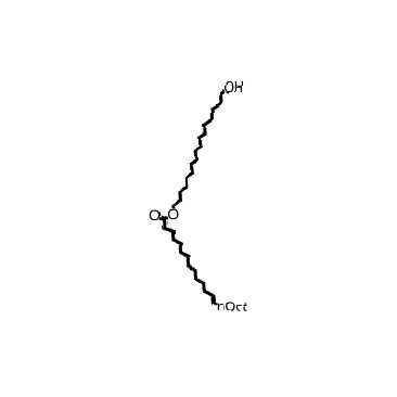 CCCCCCCCC=CCCCCCCCCCCCC(=O)OCCCCCCCCCCCCCCCCCO